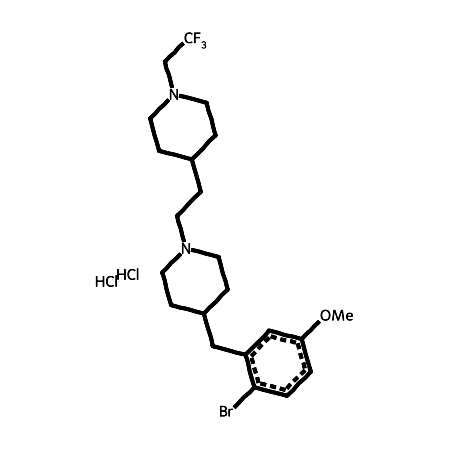 COc1ccc(Br)c(CC2CCN(CCC3CCN(CC(F)(F)F)CC3)CC2)c1.Cl.Cl